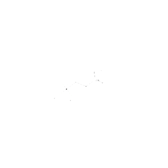 C[Si](C)CCC(F)(F)F